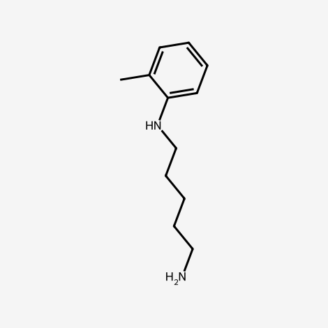 Cc1ccccc1NCCCCCN